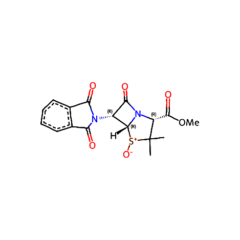 COC(=O)[C@H]1N2C(=O)[C@@H](N3C(=O)c4ccccc4C3=O)[C@H]2[S+]([O-])C1(C)C